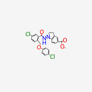 COC(=O)c1ccc2c(c1)CCN2NC(=O)c1cc(Cl)ccc1COc1ccc(Cl)cc1